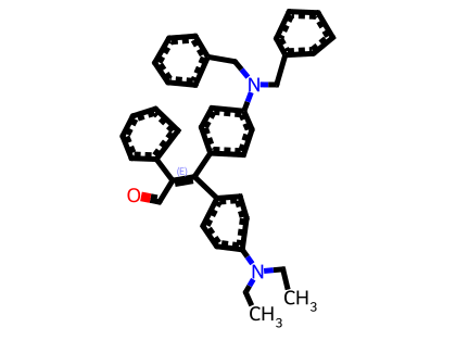 CCN(CC)c1ccc(/C(=C(\C=O)c2ccccc2)c2ccc(N(Cc3ccccc3)Cc3ccccc3)cc2)cc1